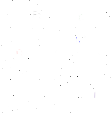 CCC(=O)c1cc(I)cn1Cl